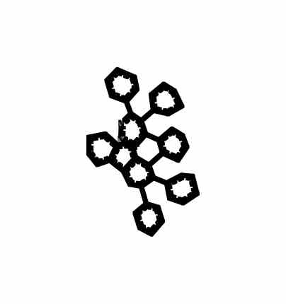 c1ccc(-c2cc3c([nH]c4ccccc43)c(-c3ccccc3-c3nnnc(-c4ccccc4)c3-c3ccccc3)c2-c2ccccc2)cc1